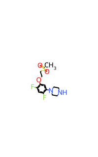 CS(=O)(=O)CCOc1cc(N2CCNCC2)c(F)cc1F